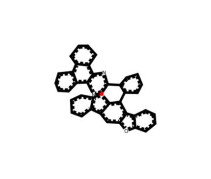 c1ccc(-c2c3oc4ccccc4c3cc3oc4ccccc4c23)c(-c2cnc3c4ccccc4c4ccccc4c3n2)c1